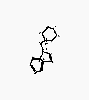 c1ccc2c(c1)ccn2CN1CCCCC1